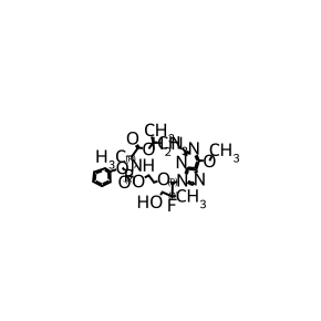 COc1nc(N)nc2c1ncn2[C@H](OCCO[P@](=O)(N[C@H](C)C(=O)OC(C)C)Oc1ccccc1)[C@](C)(F)CO